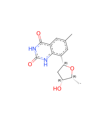 [CH2][C@H]1O[C@@H](c2cc(C)cc3c(=O)[nH]c(=O)[nH]c23)C[C@H]1O